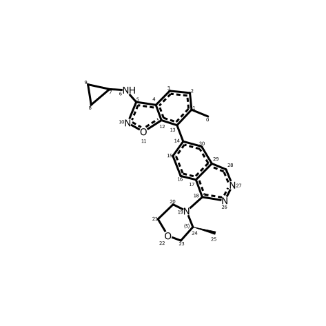 Cc1ccc2c(NC3CC3)noc2c1-c1ccc2c(N3CCOC[C@@H]3C)nncc2c1